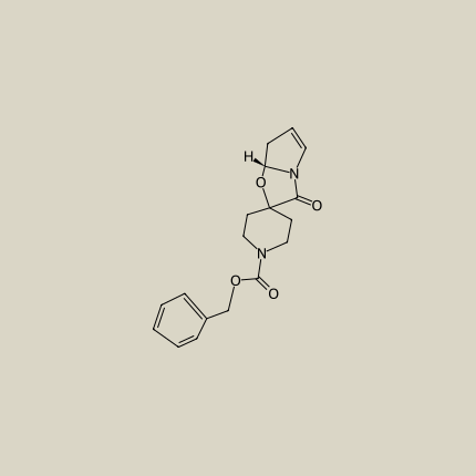 O=C(OCc1ccccc1)N1CCC2(CC1)O[C@@H]1CC=CN1C2=O